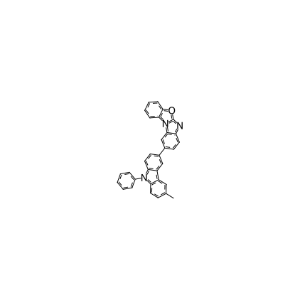 Cc1ccc2c(c1)c1cc(-c3ccc4nc5oc6ccccc6n5c4c3)ccc1n2-c1ccccc1